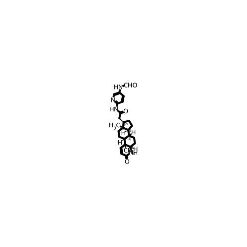 C[C@]12C=CC(=O)N[C@@H]1CC[C@@H]1[C@@H]2CC[C@]2(C)[C@@H](CC(=O)Nc3ccc(NC=O)cn3)CC[C@@H]12